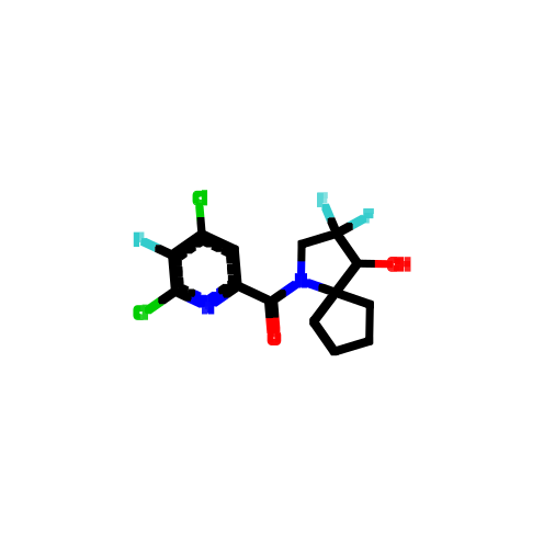 O=C(c1cc(Cl)c(F)c(Cl)n1)N1CC(F)(F)C(O)C12CCCC2